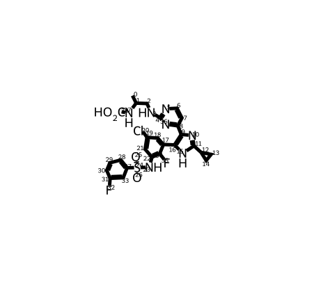 CC(CNc1nccc(-c2nc(C3CC3)[nH]c2-c2cc(Cl)cc(NS(=O)(=O)c3cccc(F)c3)c2F)n1)NC(=O)O